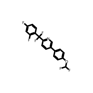 Fc1ccc(C(F)(F)c2ccc(-c3ccc(OC(F)F)cc3)cn2)c(F)c1